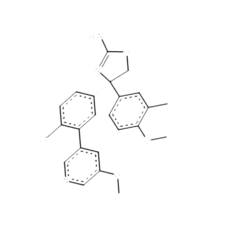 COc1cncc(-c2cc([C@@]3(c4ccc(OC)c(C)c4)COC(N)=N3)ccc2Cl)c1